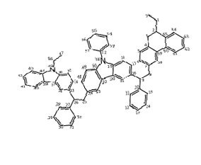 CCC1Cc2ccc(CC(c3ccccc3)c3ccc4c(c3)c3cc(CC(c5ccccc5)c5ccc6c(c5)c5ccccc5n6CC)ccc3n4-c3ccccc3)cc2-c2ccccc21